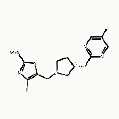 CNc1nc(F)c(CN2CC[C@H](Cc3ncc(F)cn3)C2)s1